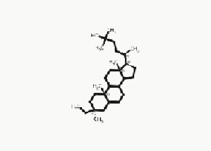 CC[C@@]1(C)CC[C@@]2(C)C(=CCC3C2CC[C@@]2(C)C3CC[C@@H]2[C@H](C)CCC(C)(C)O)C1